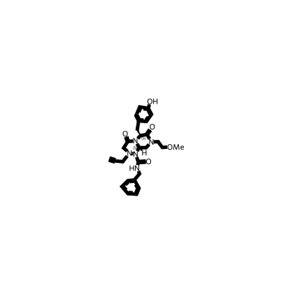 C#CCN1CC(=O)N2[C@@H](Cc3ccc(O)cc3)C(=O)N(CCOC)C[C@@H]2N1C(=O)NCc1ccccc1